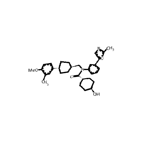 COc1ccc([C@H]2CC[C@H](CN(c3cccc(-c4cnc(C)o4)c3)C(=O)[C@H]3CC[C@H](O)CC3)CC2)cc1C